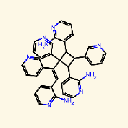 Nc1ncccc1C=C(c1cccnc1)C1(c2cccnc2)C(c2cccnc2N)C(c2cccnc2)C1c1cccnc1N